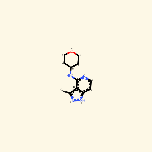 CC(C)c1n[nH]c2ccnc(NC3CCOCC3)c12